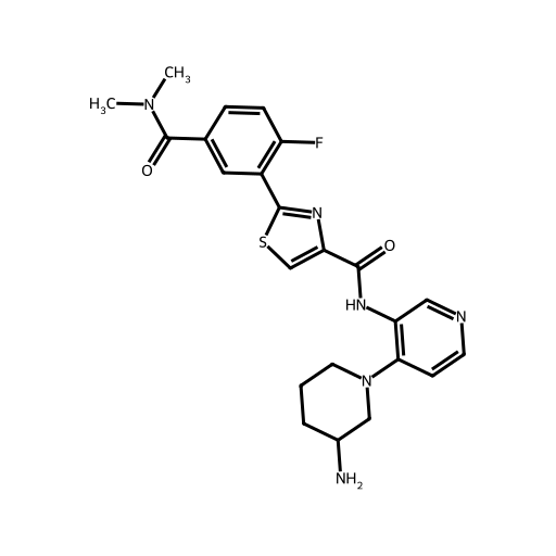 CN(C)C(=O)c1ccc(F)c(-c2nc(C(=O)Nc3cnccc3N3CCCC(N)C3)cs2)c1